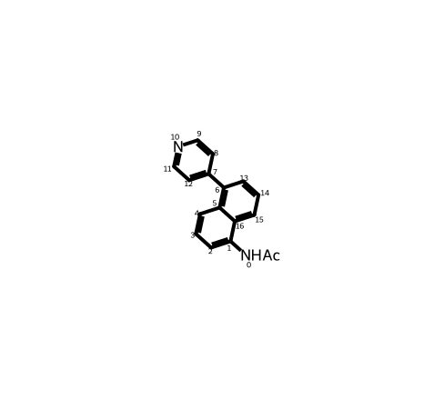 CC(=O)Nc1cccc2c(-c3ccncc3)cccc12